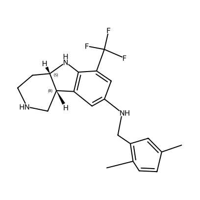 Cc1ccc(C)c(CNc2cc3c(c(C(F)(F)F)c2)N[C@H]2CCNC[C@@H]32)c1